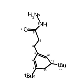 CC(C)(C)C1=CC(CCC(=O)NN)=CC(C(C)(C)C)C1